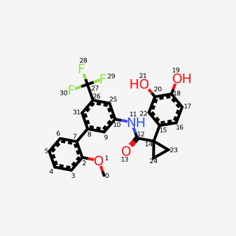 COc1ccccc1-c1cc(NC(=O)C2(c3ccc(O)c(O)c3)CC2)cc(C(F)(F)F)c1